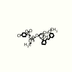 CCOP(=S)(OCO[C@H](COc1ccccc1CCc1cccc(OC)c1)CN(C)C)SCn1c(=O)oc2cc(Cl)ccc21